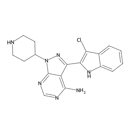 Nc1ncnc2c1c(-c1[nH]c3ccccc3c1Cl)nn2C1CCNCC1